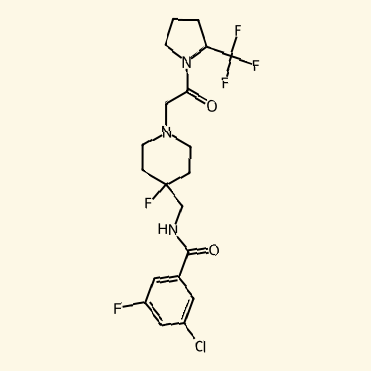 O=C(NCC1(F)CCN(CC(=O)N2CCCC2C(F)(F)F)CC1)c1cc(F)cc(Cl)c1